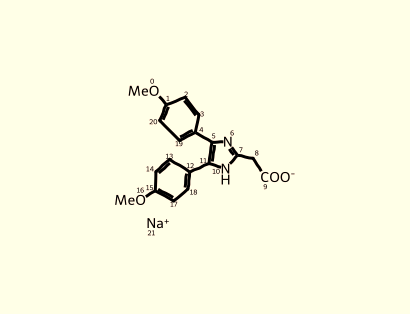 COc1ccc(-c2nc(CC(=O)[O-])[nH]c2-c2ccc(OC)cc2)cc1.[Na+]